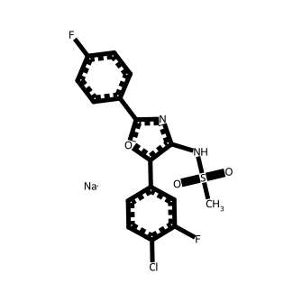 CS(=O)(=O)Nc1nc(-c2ccc(F)cc2)oc1-c1ccc(Cl)c(F)c1.[Na]